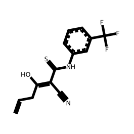 C=CC/C(O)=C(\C#N)C(=S)Nc1cccc(C(F)(F)F)c1